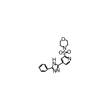 O=S(=O)(c1cc(-c2nnc(-c3ccccc3)[nH]2)ccn1)N1CCOCC1